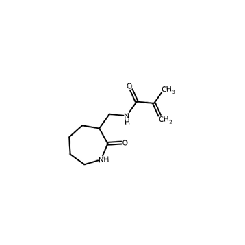 C=C(C)C(=O)NCC1CCCCNC1=O